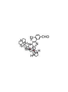 [2H]C([2H])(Oc1nc(N2C[C@H]3CC[C@@H](C2)N3C(=O)OC(C)(C)C)c2cnc(-c3cc(C=O)ccc3CC)c(F)c2n1)C12CCCN1CCC2